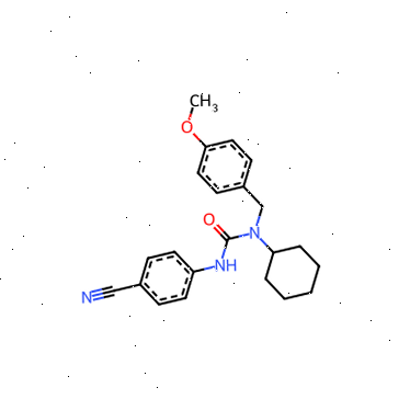 COc1ccc(CN(C(=O)Nc2ccc(C#N)cc2)C2CCCCC2)cc1